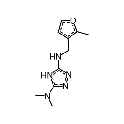 Cc1occc1CNc1nnc(N(C)C)[nH]1